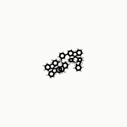 c1cc(-c2ccc3c(c2)C2(c4ccccc4-3)c3ccccc3-n3c4ccccc4c4cccc2c43)cc(N(c2ccc3c(c2)C2(c4ccccc4-c4ccccc42)c2ccccc2-3)c2cccc3ccccc23)c1